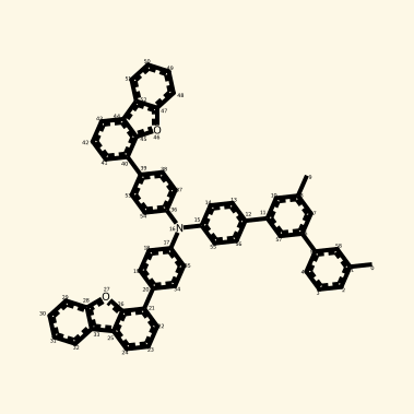 Cc1cccc(-c2cc(C)cc(-c3ccc(N(c4ccc(-c5cccc6c5oc5ccccc56)cc4)c4ccc(-c5cccc6c5oc5ccccc56)cc4)cc3)c2)c1